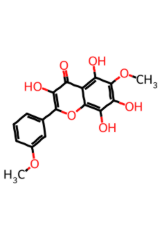 COc1cccc(-c2oc3c(O)c(O)c(OC)c(O)c3c(=O)c2O)c1